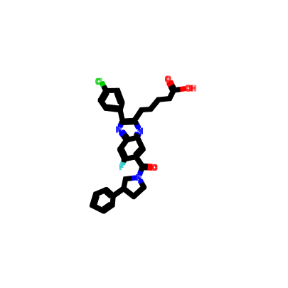 O=C(O)CCCCc1nc2cc(C(=O)N3CCC(c4ccccc4)C3)c(F)cc2nc1-c1ccc(Cl)cc1